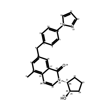 Cc1cc(Cc2ccc(-n3cccn3)cc2)cc2c(=O)n([C@@H]3CCC[C@H]3O)cnc12